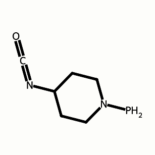 O=C=NC1CCN(P)CC1